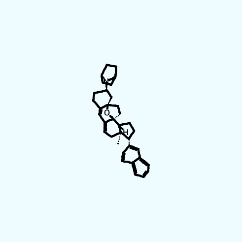 C[C@]12CC=C3C=C4CC[C@@H](N5C6CCC5CC6)C[C@]45CC[C@]3(O5)[C@@H]1CC[C@@H]2c1ccc2ccccc2c1